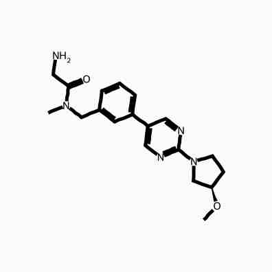 CO[C@@H]1CCN(c2ncc(-c3cccc(CN(C)C(=O)CN)c3)cn2)C1